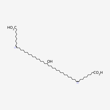 O=C(O)CCCCCCC/C=C\CCCCCCCCCCCCCCC(O)CCCCCCCCCCCCCC/C=C\CCCCCCCC(=O)O